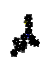 CC1(C)c2ccccc2-c2ccc(N(c3ccc(-c4ccc5c(c4)sc4ccccc45)cc3)c3cccc(-c4ccc5c(c4)-c4c(-c6ccccc6)cc(-c6ccccc6)cc4C5(C)C)c3)cc21